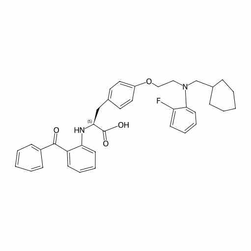 O=C(c1ccccc1)c1ccccc1N[C@@H](Cc1ccc(OCCN(CC2CCCCC2)c2ccccc2F)cc1)C(=O)O